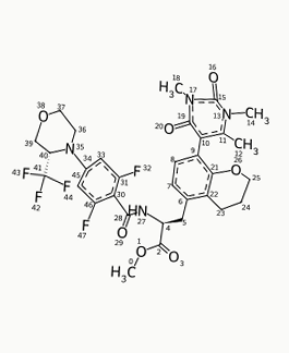 COC(=O)[C@H](Cc1ccc(-c2c(C)n(C)c(=O)n(C)c2=O)c2c1CCCO2)NC(=O)c1c(F)cc(N2CCOC[C@H]2C(F)(F)F)cc1F